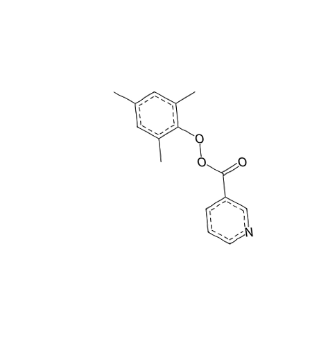 Cc1cc(C)c(OOC(=O)c2cccnc2)c(C)c1